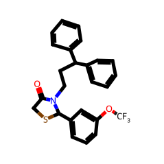 O=C1CSC(c2cccc(OC(F)(F)F)c2)N1CCC(c1ccccc1)c1ccccc1